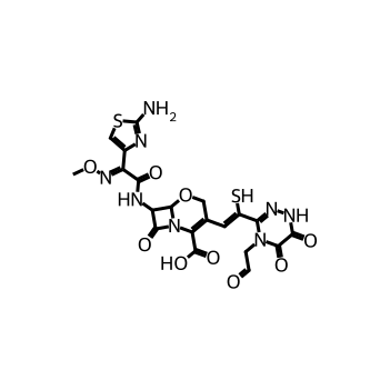 CON=C(C(=O)NC1C(=O)N2C(C(=O)O)=C(C=C(S)c3n[nH]c(=O)c(=O)n3CC=O)COC12)c1csc(N)n1